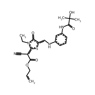 C=CCOC(=O)C(C#N)=c1sc(=CNc2cccc(NC(=O)C(C)(C)O)c2)c(=O)n1CC